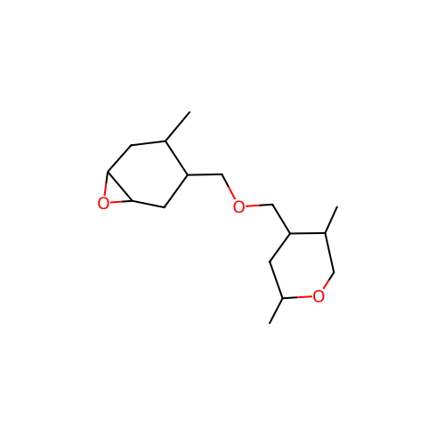 CC1CC(COCC2CC3OC3CC2C)C(C)CO1